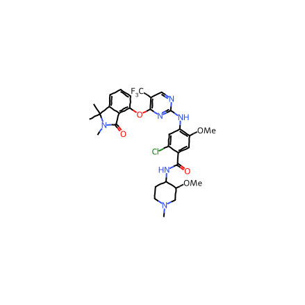 COc1cc(C(=O)NC2CCN(C)CC2OC)c(Cl)cc1Nc1ncc(C(F)(F)F)c(Oc2cccc3c2C(=O)N(C)C3(C)C)n1